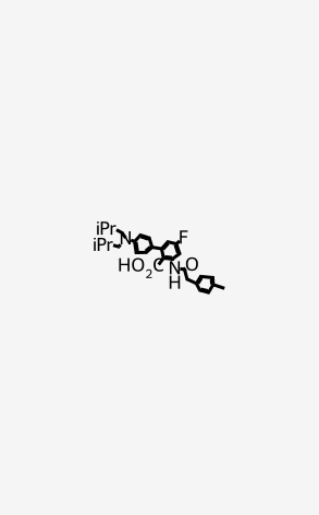 Cc1ccc(CC(=O)Nc2cc(F)cc(-c3ccc(N(CC(C)C)CC(C)C)cc3)c2C(=O)O)cc1